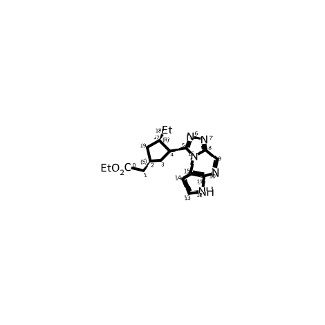 CCOC(=O)C[C@@H]1CC(c2nnc3cnc4[nH]ccc4n23)[C@H](CC)C1